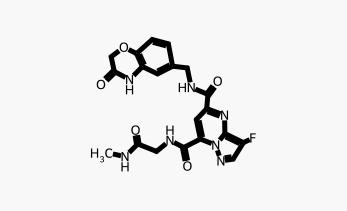 CNC(=O)CNC(=O)c1cc(C(=O)NCc2ccc3c(c2)NC(=O)CO3)nc2c(F)cnn12